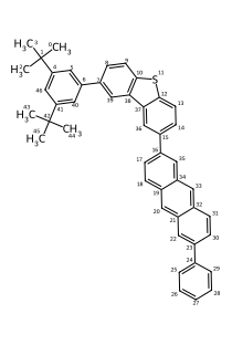 CC(C)(C)c1cc(-c2ccc3sc4ccc(-c5ccc6cc7cc(-c8ccccc8)ccc7cc6c5)cc4c3c2)cc(C(C)(C)C)c1